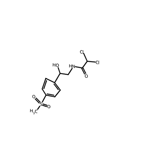 CS(=O)(=O)c1ccc(C(O)CNC(=O)C(Cl)Cl)cc1